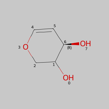 OC1COC=C[C@H]1O